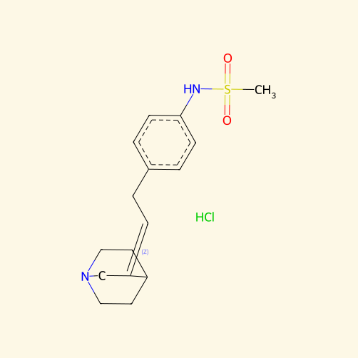 CS(=O)(=O)Nc1ccc(C/C=C2\CN3CCC2CC3)cc1.Cl